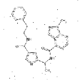 CC(NC(=O)c1ncnc2c1cnn2C)c1ncc(C(=O)NCCc2ccccc2)s1